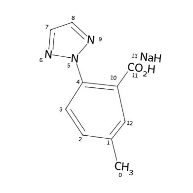 Cc1ccc(-n2nccn2)c(C(=O)O)c1.[NaH]